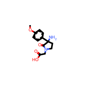 COc1ccc(C2(N)CCN(CC(=O)O)C2=O)cc1